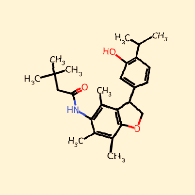 Cc1c(C)c2c(c(C)c1NC(=O)CC(C)(C)C)C(c1ccc(C(C)C)c(O)c1)CO2